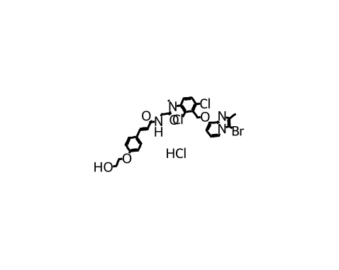 Cc1nc2c(OCc3c(Cl)ccc(N(C)C(=O)CNC(=O)C=Cc4ccc(OCCO)cc4)c3Cl)cccn2c1Br.Cl